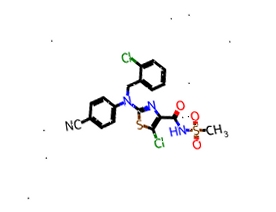 CS(=O)(=O)NC(=O)c1nc(N(Cc2ccccc2Cl)c2ccc(C#N)cc2)sc1Cl